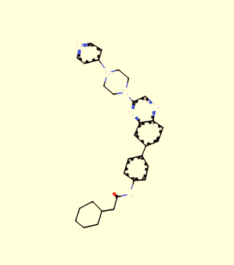 O=C(CC1CCCCC1)Nc1ccc(-c2ccc3ncc(N4CCN(c5ccncc5)CC4)nc3c2)cc1